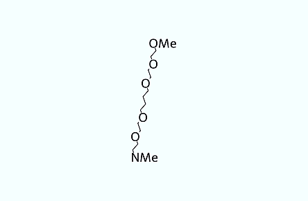 CNCCOCCOCCCCOCCOCCOC